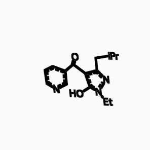 CCn1nc(CC(C)C)c(C(=O)c2cccnc2)c1O